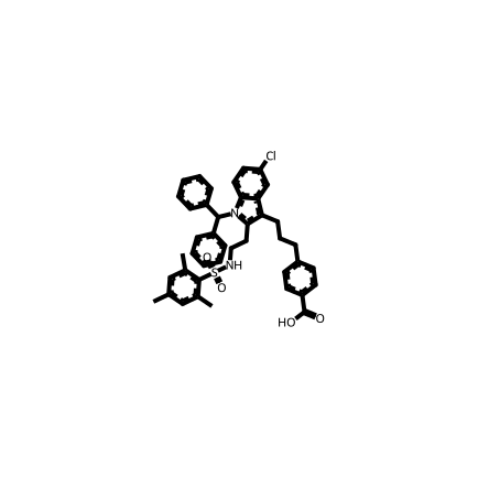 Cc1cc(C)c(S(=O)(=O)NCCc2c(CCCc3ccc(C(=O)O)cc3)c3cc(Cl)ccc3n2C(c2ccccc2)c2ccccc2)c(C)c1